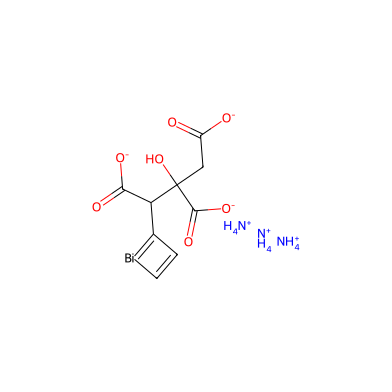 O=C([O-])CC(O)(C(=O)[O-])C(C(=O)[O-])[C]1=[Bi][CH]=C1.[NH4+].[NH4+].[NH4+]